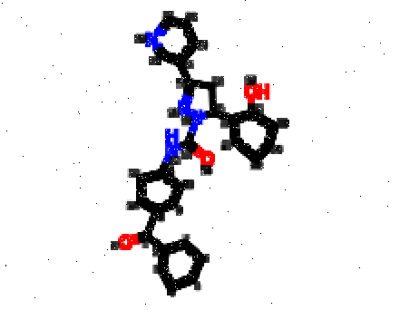 O=C(c1ccccc1)c1ccc(NC(=O)N2N=C(c3cccnc3)CC2c2ccccc2O)cc1